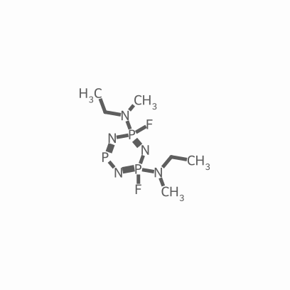 CCN(C)P1(F)=NP=NP(F)(N(C)CC)=N1